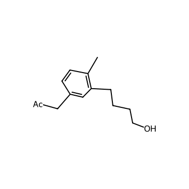 CC(=O)Cc1ccc(C)c(CCCCO)c1